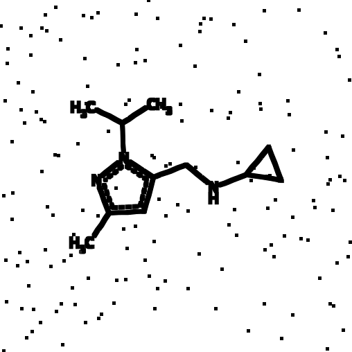 Cc1cc(CNC2CC2)n(C(C)C)n1